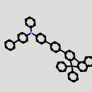 c1ccc(-c2ccc(N(c3ccccc3)c3ccc(-c4ccc(-c5ccc6c(c5)C(c5ccccc5)(c5ccccc5)c5ccc7ccccc7c5-6)cc4)cc3)cc2)cc1